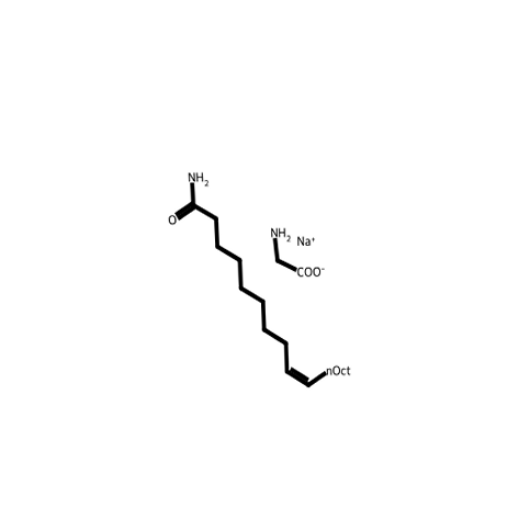 CCCCCCCC/C=C\CCCCCCCC(N)=O.NCC(=O)[O-].[Na+]